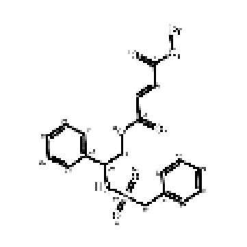 CC(C)OC(=O)/C=C/C(=O)OCC(NS(=O)(=O)Cc1ccccc1)c1ccccc1